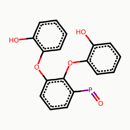 O=Pc1cccc(Oc2ccccc2O)c1Oc1ccccc1O